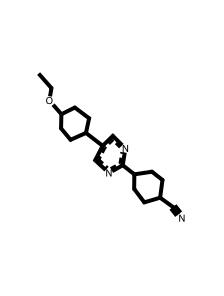 CCOC1CCC(c2cnc(C3CCC(C#N)CC3)nc2)CC1